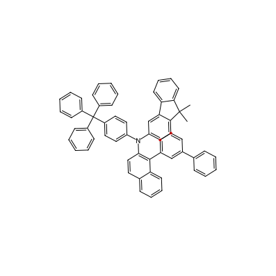 CC1(C)c2ccccc2-c2cc(N(c3ccc(C(c4ccccc4)(c4ccccc4)c4ccccc4)cc3)c3ccc4ccccc4c3-c3cccc(-c4ccccc4)c3)ccc21